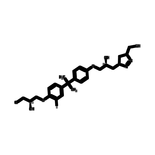 CC(C)(c1ccc(OC[C@H](O)CN2CC(CO)N=N2)cc1)c1ccc(OC[C@H](O)CCl)c(I)c1